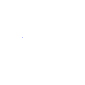 Cc1cc([C@H](C(=O)O)[C@H]2C=CCCN2)ccc1-c1ccccc1.Cl